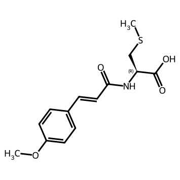 COc1ccc(C=CC(=O)N[C@@H](CSC)C(=O)O)cc1